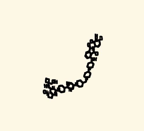 O=C1CCC(N2C(=O)c3cccc(NC4CCN(C5CCN(CC6CCN(c7cnc(C8CCN(c9nc%10c(c(NC%11(CO)CCC%11)n9)[S@+]([O-])CC%10)CC8)nc7)CC6)CC5)CC4)c3C2=O)C(=O)N1